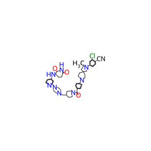 CC1CC2(CCN(c3ccc(C(=O)N4CCC(CN5CCN(c6cc(NC7CCC(=O)NC7=O)ccn6)CC5)CC4)cc3)CC2)CN1c1ccc(C#N)c(Cl)c1